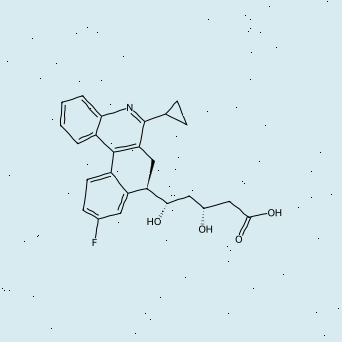 O=C(O)C[C@H](O)C[C@H](O)[C@@H]1Cc2c(C3CC3)nc3ccccc3c2-c2ccc(F)cc21